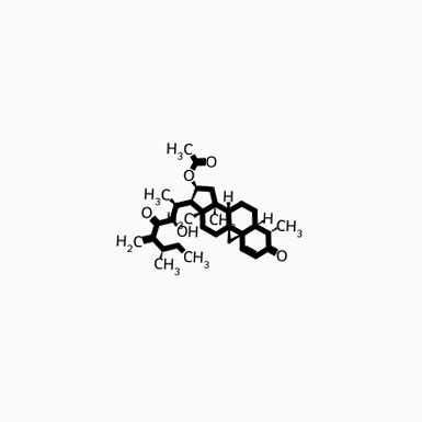 C=C(C(=O)[C@H](O)[C@@H](C)[C@H]1[C@@H](OC(C)=O)C[C@@]2(C)[C@@H]3CC[C@H]4[C@H](C)C(=O)C=C[C@@]45C[C@@]35CC[C@]12C)[C@@H](C)CC